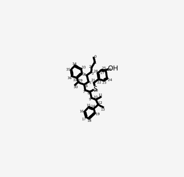 CCCCCCC(CC(CC(C)C(C)c1ccccc1)SCc1ccc(O)cc1)C(C)c1ccccc1